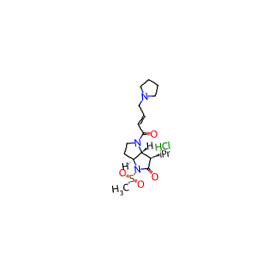 CC(C)[C@H]1C(=O)N(S(C)(=O)=O)[C@H]2CCN(C(=O)/C=C/CN3CCCC3)[C@H]12.Cl